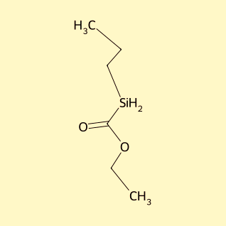 CCC[SiH2]C(=O)OCC